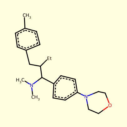 CCC(Cc1ccc(C)cc1)C(c1ccc(N2CCOCC2)cc1)N(C)C